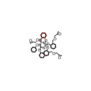 c1ccc(ON2P(Oc3ccccc3)N=P(Oc3ccccc3COCC3CO3)(Oc3ccccc3COCC3CO3)N(Oc3ccccc3COCC3CO3)P2Oc2ccccc2)cc1